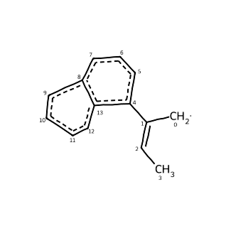 [CH2]C(=CC)c1cccc2ccccc12